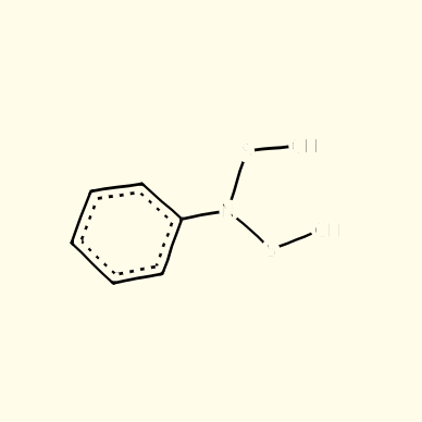 CSN(SC)c1ccccc1